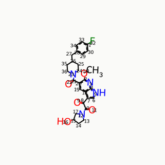 COc1nc2[nH]cc(C(=O)C(=O)N3CC[C@@H](O)C3)c2cc1C(=O)N1CCC(Cc2ccc(F)cc2)CC1